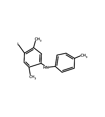 Cc1ccc(Nc2cc(C)c(I)cc2C)cc1